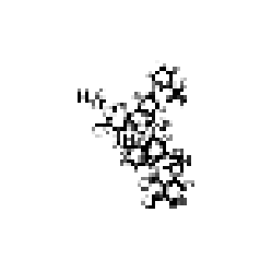 CCOC(=O)[C@H](Cc1ccc(NC(=O)c2c(Cl)cncc2Cl)cc1)NC(=O)C1C[C@@H](N2CCCC2C(F)(F)F)CN1S(=O)(=O)c1cccc(C#N)c1